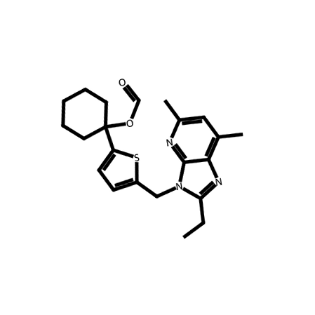 CCc1nc2c(C)cc(C)nc2n1Cc1ccc(C2(OC=O)CCCCC2)s1